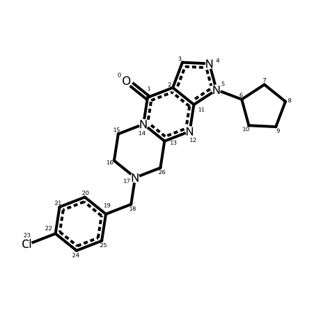 O=c1c2cnn(C3CCCC3)c2nc2n1CCN(Cc1ccc(Cl)cc1)C2